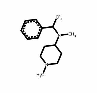 CN1CCC(N(C)C(c2ccccc2)C(F)(F)F)CC1